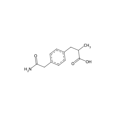 CC(Cc1ccc(CC(N)=O)cc1)C(=O)O